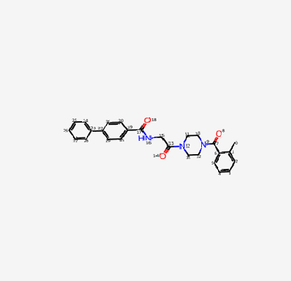 Cc1ccccc1C(=O)N1CCN(C(=O)CNC(=O)c2ccc(-c3ccccc3)cc2)CC1